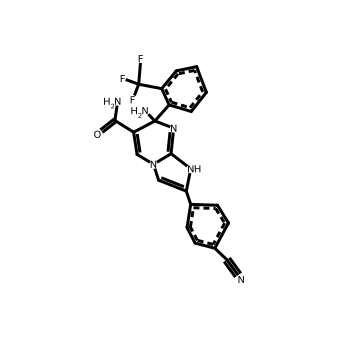 N#Cc1ccc(C2=CN3C=C(C(N)=O)C(N)(c4ccccc4C(F)(F)F)N=C3N2)cc1